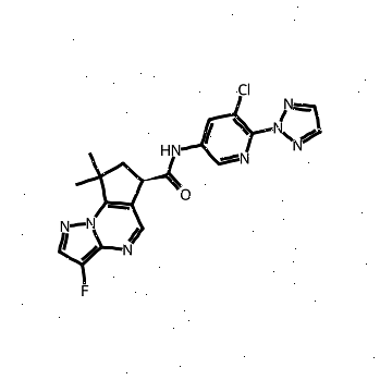 CC1(C)C[C@@H](C(=O)Nc2cnc(-n3nccn3)c(Cl)c2)c2cnc3c(F)cnn3c21